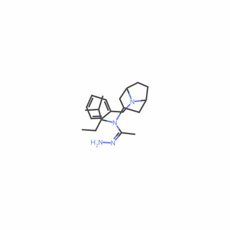 CCC(C(C)C)N(/C(C)=N\N)C1CC2CCC(C1)N2Cc1ccccc1